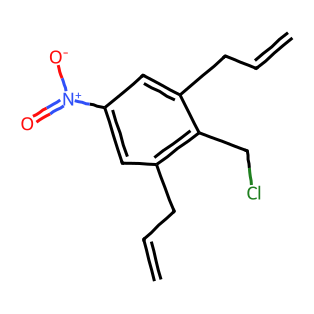 C=CCc1cc([N+](=O)[O-])cc(CC=C)c1CCl